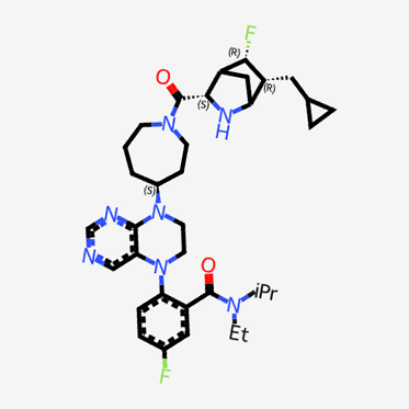 CCN(C(=O)c1cc(F)ccc1N1CCN([C@H]2CCCN(C(=O)[C@H]3NC4CC3[C@H](F)[C@@H]4CC3CC3)CC2)c2ncncc21)C(C)C